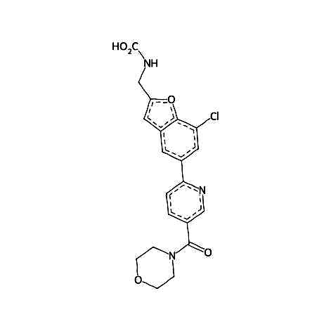 O=C(O)NCc1cc2cc(-c3ccc(C(=O)N4CCOCC4)cn3)cc(Cl)c2o1